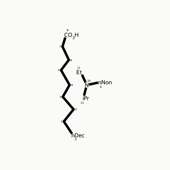 CCCCCCCCCCCCCCCCCC(=O)O.CCCCCCCCCN(CC)C(C)C